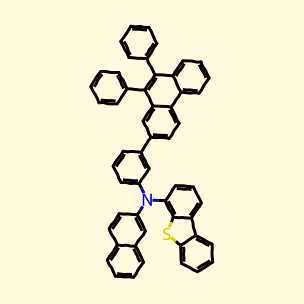 c1ccc(-c2c(-c3ccccc3)c3cc(-c4cccc(N(c5ccc6ccccc6c5)c5cccc6c5sc5ccccc56)c4)ccc3c3ccccc23)cc1